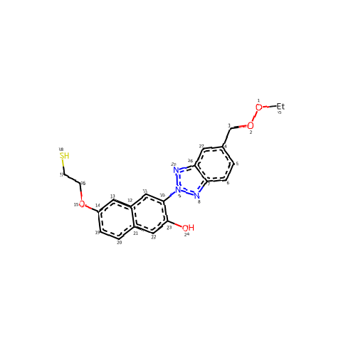 CCOOCc1ccc2nn(-c3cc4cc(OCCS)ccc4cc3O)nc2c1